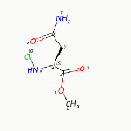 COC(=O)[C@H](CC(N)=O)NCl